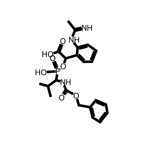 CC(=N)Nc1ccccc1C(OP(=O)(O)C(NC(=O)OCc1ccccc1)C(C)C)C(=O)O